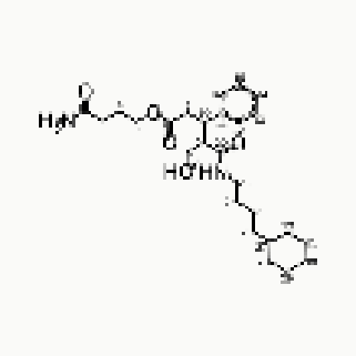 NC(=O)CCCOC(=O)CC(c1ccccc1)C(CO)C(=O)NCCCCC1CCCCC1